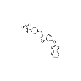 CS(=O)(=O)NC1CCN(Cc2coc3cc(Oc4nc5ncccc5s4)ccc23)CC1